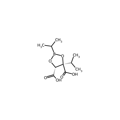 CC(C)B1O[C@@H](C(=O)O)[C@@](C(=O)O)(C(C)C)O1